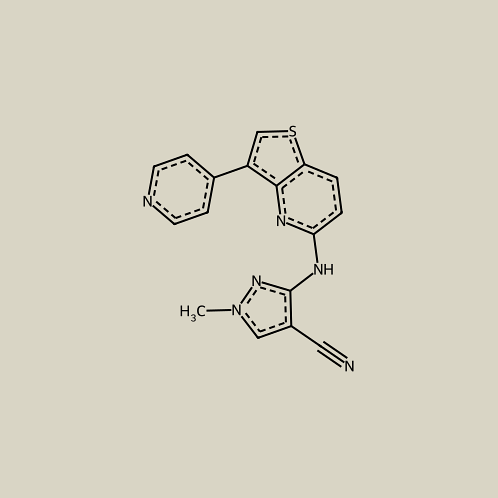 Cn1cc(C#N)c(Nc2ccc3scc(-c4ccncc4)c3n2)n1